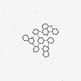 c1ccc2c(c1)Oc1cccc3c(-c4ccccc4-c4cc(-c5ccccc5-c5cnc6ccccc6c5)cc(-c5ccccc5-c5cnc6ccccc6c5)c4)cnc-2c13